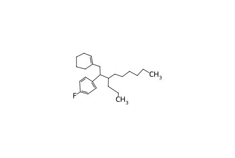 CCCCCCC(CCC)C(CC1=CCCCC1)c1ccc(F)cc1